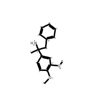 COc1ccc(C(C)(N)Cc2ccccc2)cc1OC